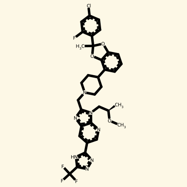 CO[C@H](C)Cn1c(CN2CCC(c3cccc4c3OC(C)(c3ccc(Cl)cc3F)O4)CC2)nc2cc(-c3nnc(C(F)(F)F)[nH]3)cnc21